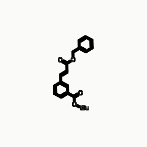 CC(C)(C)OC(=O)c1cccc(/C=C/C(=O)OCc2ccccc2)c1